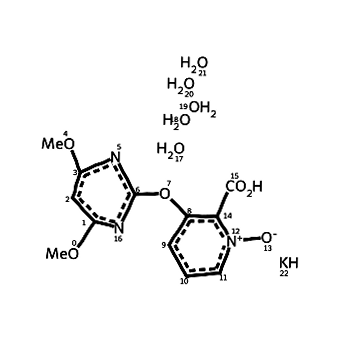 COc1cc(OC)nc(Oc2ccc[n+]([O-])c2C(=O)O)n1.O.O.O.O.O.[KH]